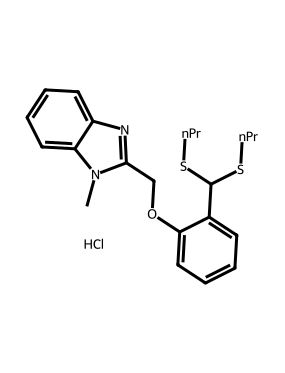 CCCSC(SCCC)c1ccccc1OCc1nc2ccccc2n1C.Cl